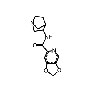 O=C(NC1CN2CCC1C2)c1cc2c(cn1)OCO2